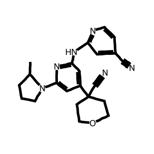 CC1CCCN1c1cc(C2(C#N)CCOCC2)cc(Nc2cc(C#N)ccn2)n1